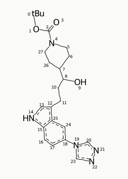 CC(C)(C)OC(=O)N1CCC(C(O)CCc2c[nH]c3ccc(-n4cnnc4)cc23)CC1